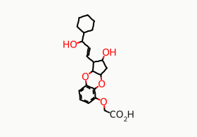 O=C(O)COc1cccc2c1OC1CC(O)C(C=CC(O)C3CCCCC3)C1O2